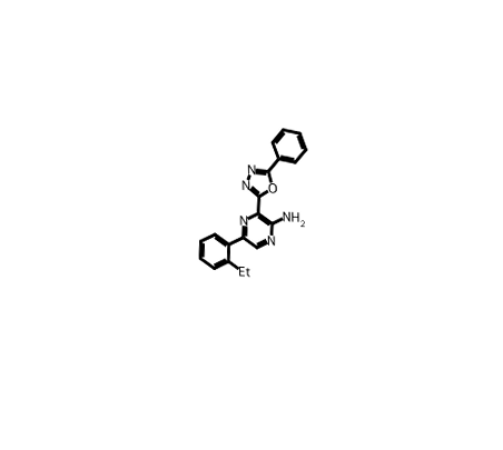 CCc1ccccc1-c1cnc(N)c(-c2nnc(-c3ccccc3)o2)n1